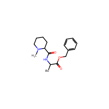 CCC(C)C(NC(=O)C1CCCCN1C)C(=O)OCc1ccccc1